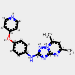 Cc1cc(C(F)(F)F)nc2nc(Nc3ccc(Oc4ccncc4)cc3)nn12